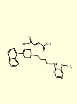 COc1cncnc1NCCCCN1CC=C(c2cccc3ccccc23)CC1.O=C(O)C=CC(=O)O